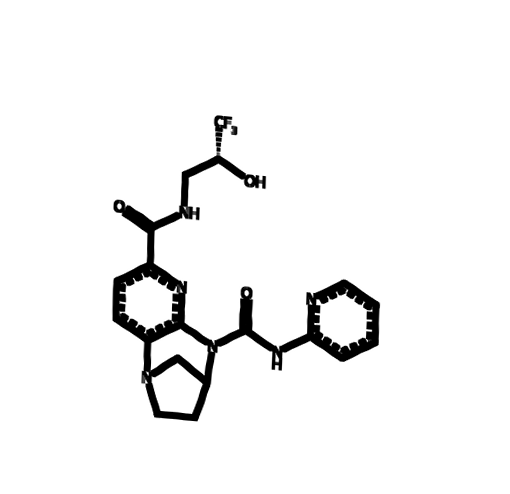 O=C(NC[C@@H](O)C(F)(F)F)c1ccc2c(n1)N(C(=O)Nc1ccccn1)C1CCN2C1